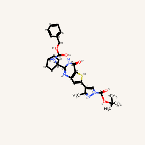 Cc1nn(C(=O)OC(C)(C)C)cc1-c1cc2nc(C34CCC(CC3)N4C(=O)OCc3ccccc3)[nH]c(=O)c2s1